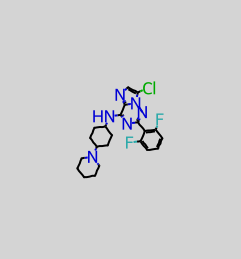 Fc1cccc(F)c1-c1nc(NC2CCC(N3CCCCC3)CC2)c2ncc(Cl)n2n1